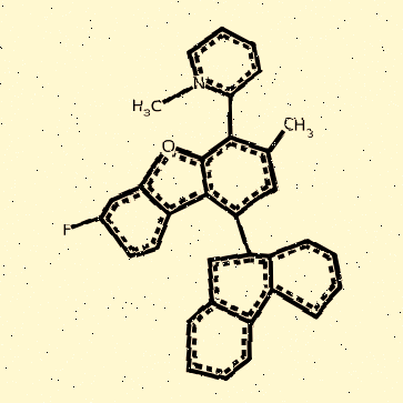 Cc1cc(-c2cc3ccccc3c3ccccc23)c2c(oc3cc(F)ccc32)c1-c1cccc[n+]1C